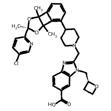 CC12O[C@](C)(c3ccc(Cl)cn3)OC1(C)c1c(C3CCN(Cc4nc5ccc(C(=O)O)cc5n4C[C@@H]4CCO4)CC3)cccc12